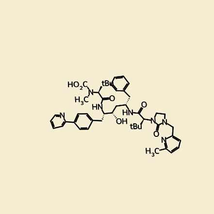 Cc1cccc(CN2CCN([C@H](C(=O)N[C@@H](Cc3ccccc3)C[C@H](O)[C@H](Cc3ccc(-c4ccccn4)cc3)NC(=O)[C@@H](N(C)C(=O)O)C(C)(C)C)C(C)(C)C)C2=O)n1